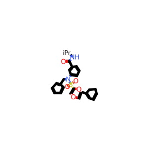 CC(C)NC(=O)c1cccc(N(Cc2ccccc2)S(=O)(=O)C2=COC=C(C3=CC=CCC3)O2)c1